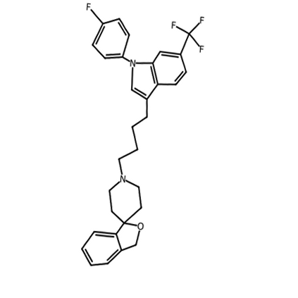 Fc1ccc(-n2cc(CCCCN3CCC4(CC3)OCc3ccccc34)c3ccc(C(F)(F)F)cc32)cc1